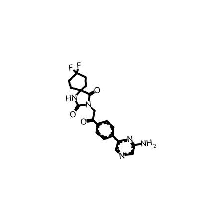 Nc1cncc(-c2ccc(C(=O)CN3C(=O)NC4(CCC(F)(F)CC4)C3=O)cc2)n1